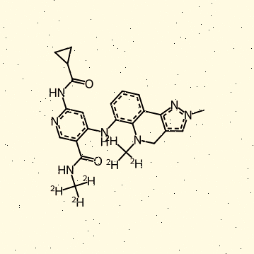 [2H]C([2H])([2H])NC(=O)c1cnc(NC(=O)C2CC2)cc1Nc1cccc2c1N(C([2H])([2H])[2H])Cc1cn(C)nc1-2